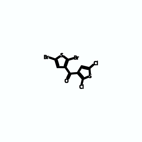 O=C(c1cc(Cl)sc1Cl)c1cc(Br)sc1Br